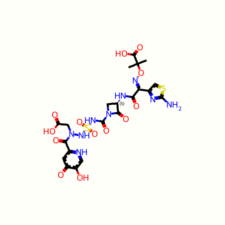 CC(C)(ON=C(C(=O)N[C@H]1CN(C(=O)NS(=O)(=O)NN(CC(=O)O)C(=O)c2cc(=O)c(O)c[nH]2)C1=O)c1csc(N)n1)C(=O)O